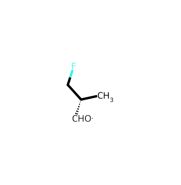 C[C@H]([C]=O)CF